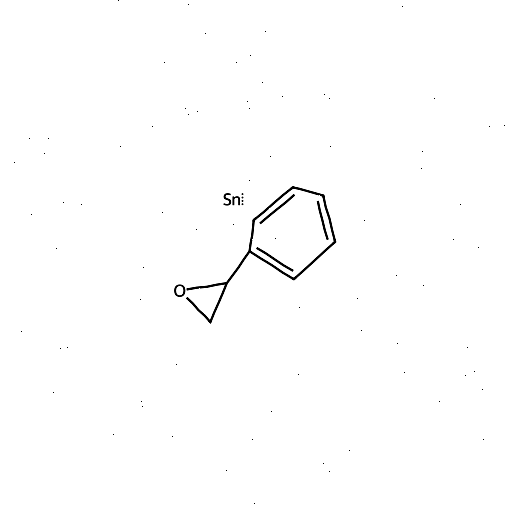 [Sn].c1ccc(C2CO2)cc1